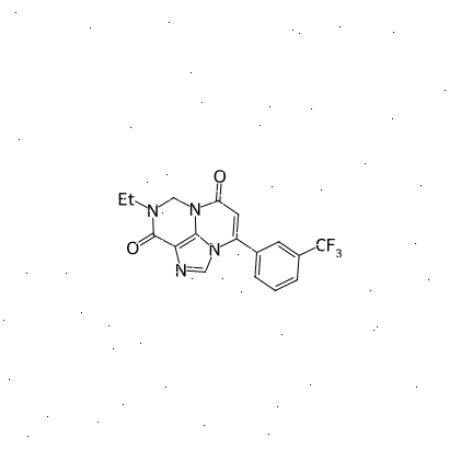 CCN1Cn2c(=O)cc(-c3cccc(C(F)(F)F)c3)n3cnc(c23)C1=O